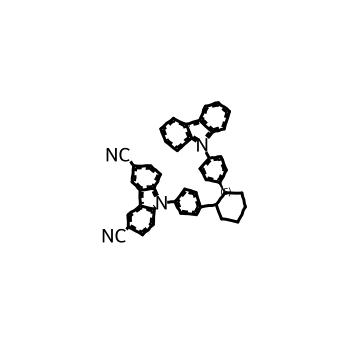 N#Cc1ccc2c(c1)c1cc(C#N)ccc1n2-c1ccc(C2CCCC[C@@H]2c2ccc(-n3c4ccccc4c4ccccc43)cc2)cc1